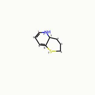 C1=CNC2CCCSC2=C1